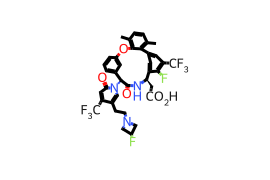 Cc1ccc(C)c2c1Oc1cccc(c1)[C@H](n1cc(CCN3CC(F)C3)c(C(F)(F)F)cc1=O)C(=O)N[C@H](CC(=O)O)c1cc-2cc(C(F)(F)F)c1F